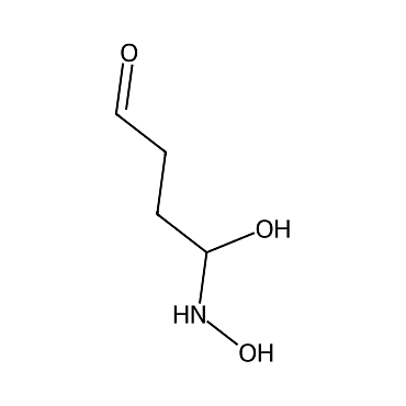 O=CCCC(O)NO